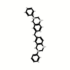 c1ccc(N2COc3ccc(Cc4ccc5c(c4)CN(c4ccccc4)CO5)cc3C2)cc1